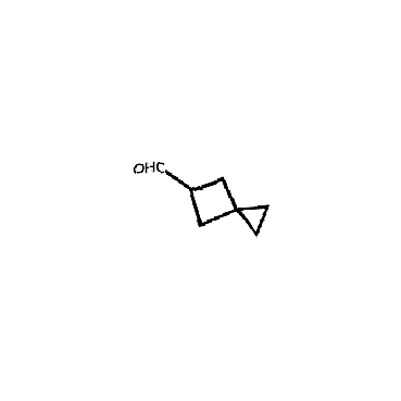 O=CC1CC2(CC2)C1